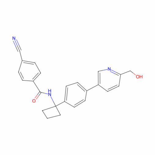 N#Cc1ccc(C(=O)NC2(c3ccc(-c4ccc(CO)nc4)cc3)CCC2)cc1